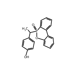 CC(c1ccc(O)cc1)P1(=O)Oc2ccccc2-c2ccccc21